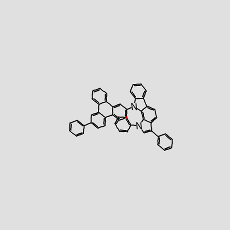 c1ccc(-c2ccc3c4ccc(-n5c6ccccc6c6ccc7c(-c8ccccc8)cn(-c8ccccc8)c7c65)cc4c4ccccc4c3c2)cc1